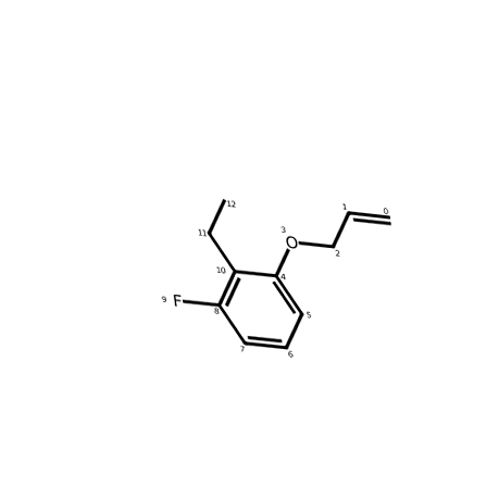 C=CCOc1cccc(F)c1CC